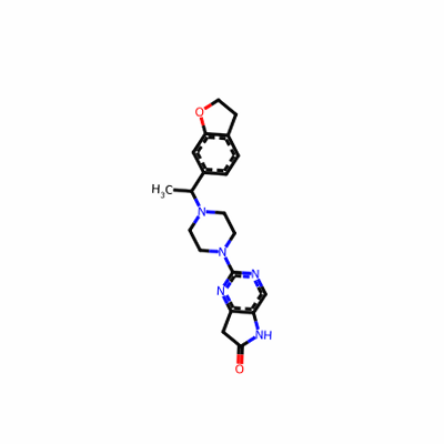 CC(c1ccc2c(c1)OCC2)N1CCN(c2ncc3c(n2)CC(=O)N3)CC1